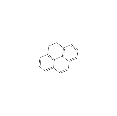 c1cc2c3c(c1)ccc1cccc(c13)CC2